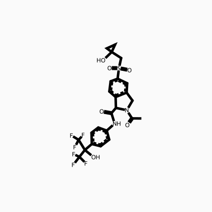 CC(=O)N1Cc2cc(S(=O)(=O)CC3(O)CC3)ccc2C1C(=O)Nc1ccc(C(O)(C(F)(F)F)C(F)(F)F)cc1